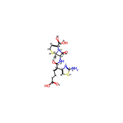 Nc1nc(/C(=C\CCC(=O)O)C(=O)N[C@@H]2C(=O)N3C(C(=O)O)=CCS[C@H]23)cs1